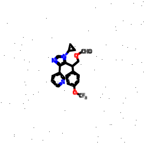 O=COCC(c1ccc(OC(F)(F)F)cc1)c1c(-c2cccnc2)ncn1C1CC1